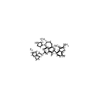 C[C@H]1NCC[C@H]1N1CCCc2nc(-c3ccc(F)c4sc(N)c(C#N)c34)c(F)c3nc(OC[C@@]45CCCN4C[C@H](F)C5)nc1c23